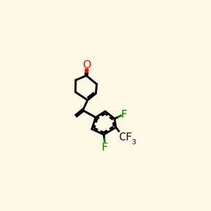 C=C(C1=CCC(=O)CC1)c1cc(F)c(C(F)(F)F)c(F)c1